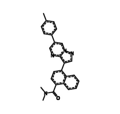 Cc1ccc(-c2cnc3c(-c4ccc(C(=O)N(C)C)c5ccccc45)cnn3c2)cc1